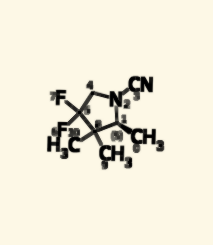 C[C@@H]1N(C#N)CC(F)(F)C1(C)C